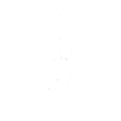 C=CCCCC(CCCN(CCCc1ccc(C(=O)OCC)cc1)S(C)(=O)=O)OC(C)=O